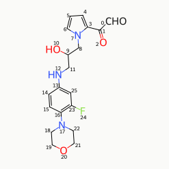 O=CC(=O)c1cccn1CC(O)CNc1ccc(N2CCOCC2)c(F)c1